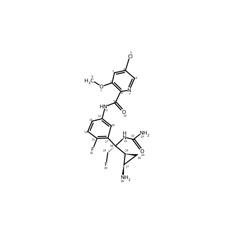 COc1cc(Cl)cnc1C(=O)Nc1ccc(F)c([C@@](CF)(NC(N)=O)[C@H]2C[C@H]2N)c1